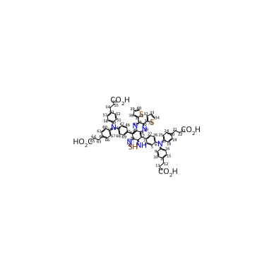 N=C1C(c2ccc(N(c3ccc(CCC(=O)O)cc3)c3ccc(CCC(=O)O)cc3)cc2)=c2nc(-c3cccs3)c(-c3cccs3)nc2=C(c2ccc(N(c3ccc(CCC(=O)O)cc3)c3ccc(CCC(=O)O)cc3)cc2)/C1=N/S